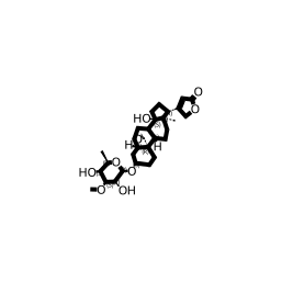 CO[C@H]1[C@@H](O)[C@@H](C)O[C@@H](O[C@H]2CC[C@@]3(C=O)[C@@H](CCC4[C@@H]3CC[C@]3(C)[C@@H](C5=CC(=O)OC5)CC[C@]43O)C2)[C@@H]1O